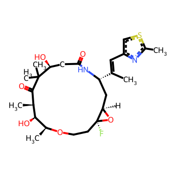 CC(=Cc1csc(C)n1)[C@@H]1C[C@H]2O[C@@]2(F)CCO[C@@H](C)[C@@H](O)[C@@H](C)C(=O)C(C)(C)[C@@H](O)CC(=O)N1